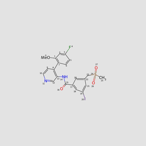 COc1cc(F)ccc1-c1ccncc1NC(=O)c1cc(I)cc(CS(C)(=O)=O)c1